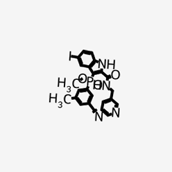 COP(=O)(c1cc(C)cc(C#N)c1)c1c(C(=O)NCc2cccnc2)[nH]c2ccc(I)cc12